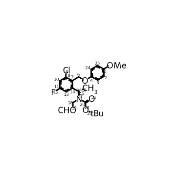 COc1ccc(OCc2c(Cl)cc(F)cc2[C@H](C)N(CC=O)C(=O)OC(C)(C)C)cc1